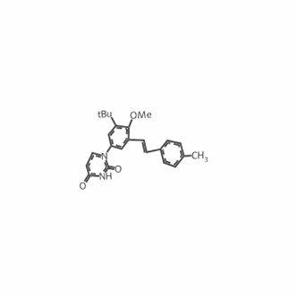 COc1c(/C=C/c2ccc(C)cc2)cc(-n2ccc(=O)[nH]c2=O)cc1C(C)(C)C